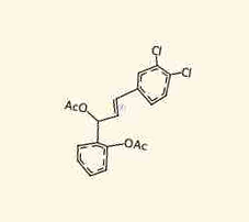 CC(=O)Oc1ccccc1C(/C=C/c1ccc(Cl)c(Cl)c1)OC(C)=O